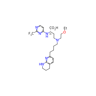 CCOCCN(CCCCc1ccc2c(n1)NCCC2)CC[C@H](Nc1ccnc(C(F)(F)F)n1)C(=O)O